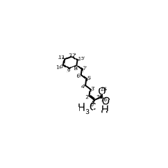 CC(=CCCCCCC1CCCCC1)C(=O)O